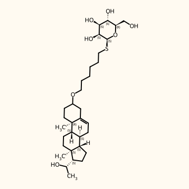 CC(O)[C@H]1CC[C@H]2[C@@H]3CC=C4CC(OCCCCCCS[C@@H]5O[C@H](CO)[C@@H](O)[C@H](O)[C@@H]5O)CC[C@]4(C)[C@H]3CC[C@]12C